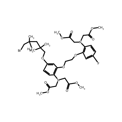 COC(=O)CN(CC(=O)OC)c1ccc(F)cc1OCCOc1cc(OCC(C)(C)CC(C)(C)CBr)ccc1N(CC(=O)OC)CC(=O)OC